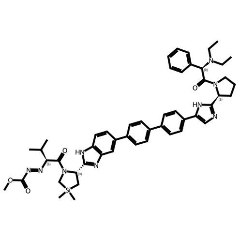 CCN(CC)[C@@H](C(=O)N1CCC[C@H]1c1ncc(-c2ccc(-c3ccc(-c4ccc5[nH]c([C@@H]6C[Si](C)(C)CN6C(=O)[C@@H](N=NC(=O)OC)C(C)C)nc5c4)cc3)cc2)[nH]1)c1ccccc1